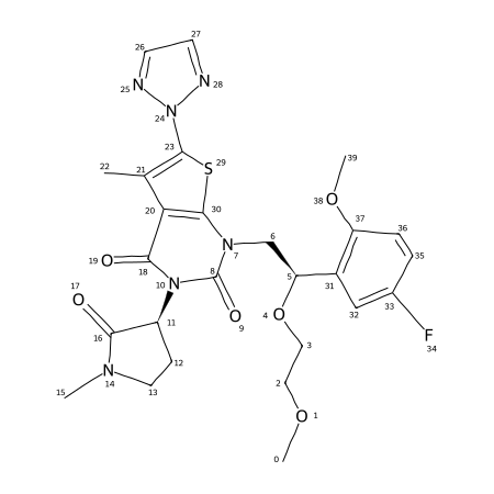 COCCO[C@@H](Cn1c(=O)n([C@H]2CCN(C)C2=O)c(=O)c2c(C)c(-n3nccn3)sc21)c1cc(F)ccc1OC